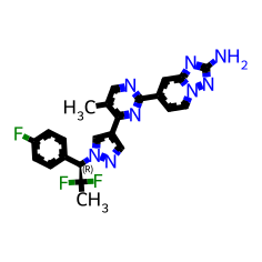 Cc1cnc(-c2ccn3nc(N)nc3c2)nc1-c1cnn([C@H](c2ccc(F)cc2)C(C)(F)F)c1